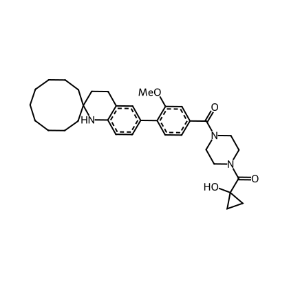 COc1cc(C(=O)N2CCN(C(=O)C3(O)CC3)CC2)ccc1-c1ccc2c(c1)CCC1(CCCCCCCCC1)N2